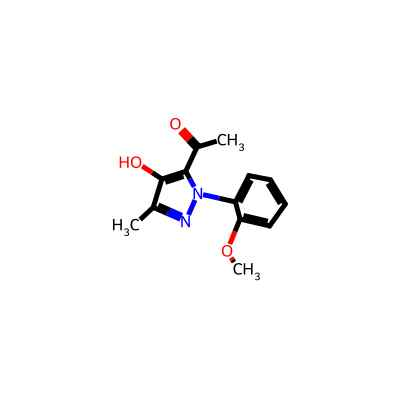 COc1ccccc1-n1nc(C)c(O)c1C(C)=O